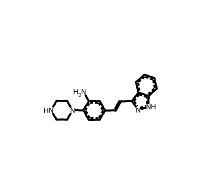 Nc1cc(/C=C/c2n[nH]c3ccccc23)ccc1N1CCNCC1